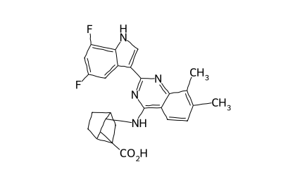 Cc1ccc2c(NC3C4CCC(CC4)C3C(=O)O)nc(-c3c[nH]c4c(F)cc(F)cc34)nc2c1C